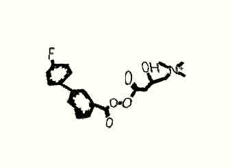 C[N+](C)(C)CC(O)CC(=O)OOC(=O)c1cccc(-c2ccc(F)cc2)c1